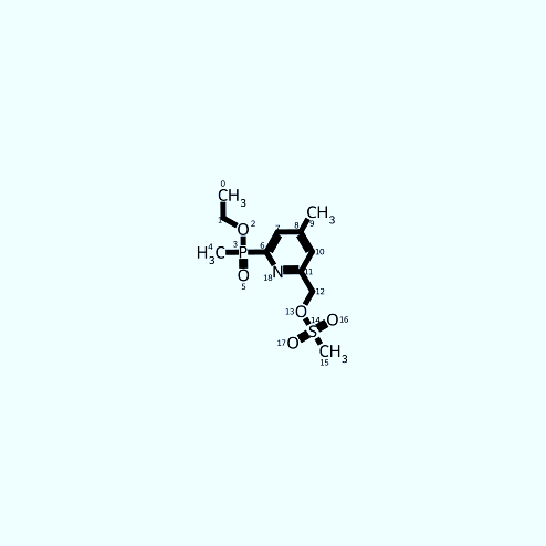 CCOP(C)(=O)c1cc(C)cc(COS(C)(=O)=O)n1